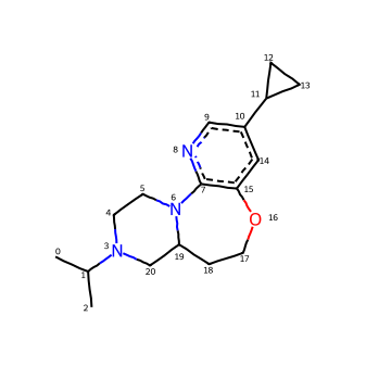 CC(C)N1CCN2c3ncc(C4CC4)cc3OCCC2C1